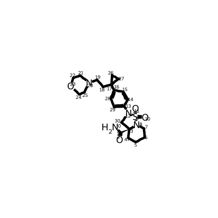 NC(=O)[C@]12[CH]CCCN1S(=O)(=O)N(c1ccc(C3(CCN4CCOCC4)CC3)cc1)C2